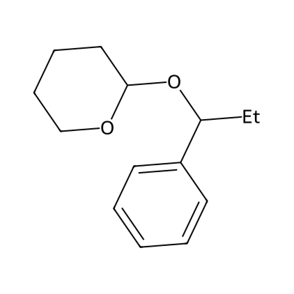 CCC(OC1CCCCO1)c1ccccc1